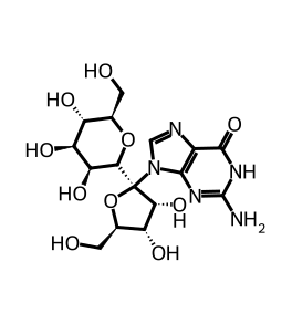 Nc1nc2c(ncn2[C@]2(C3O[C@H](CO)[C@@H](O)[C@H](O)[C@@H]3O)O[C@H](CO)[C@@H](O)[C@H]2O)c(=O)[nH]1